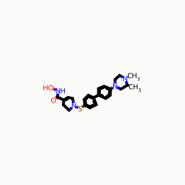 CC1CN(c2ccc(-c3ccc(SN4CC=C(C(=O)NO)CC4)cc3)cc2)CCN1C